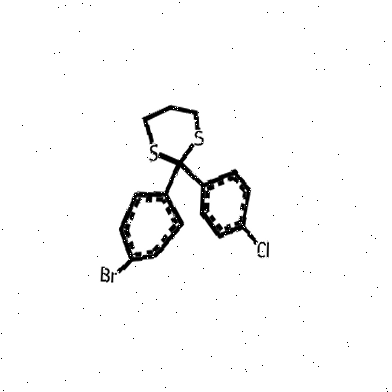 Clc1ccc(C2(c3ccc(Br)cc3)SCCCS2)cc1